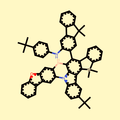 CC(C)(C)c1ccc(Nc2cc3c(cc2-c2c4c(c5c6cc(C(C)(C)C)ccc6n6c5c2Bc2cc5oc7ccccc7c5cc2-6)[Si](C)(C)c2ccccc2-4)C(C)(C)c2ccccc2-3)cc1